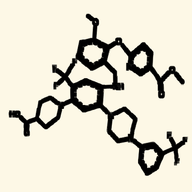 COC(=O)c1ccc(Oc2c(CNc3cc(C(F)(F)F)c(N4CCC(C(=O)O)CC4)cc3N3CCN(c4cccc(C(F)(F)F)c4)CC3)cccc2OC)nc1